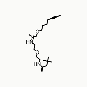 C=C(CC(C)(C)C)NCCOCCNN(C)COCCCCC#CC